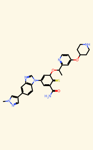 CC(OC1C=C(n2cnc3cc(-c4cnn(C)c4)ccc32)C=C(C(N)=O)C1=S)c1cc(OC2CCNCC2)ccn1